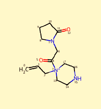 C=CC[N+]1(C(=O)CN2CCCC2=O)CCNCC1